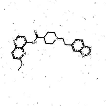 COc1ccc2nccc(NC(=O)C3CCN(CCc4ccc5nsnc5c4)CC3)c2n1